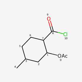 CC(=O)OC1CC(C)CCC1C(=O)Cl